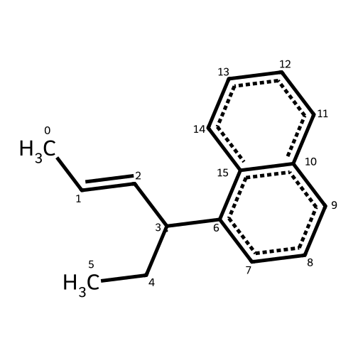 C/C=C/[C](CC)c1cccc2ccccc12